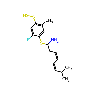 Cc1cc(SC(N)C/C=C\C=C/C(C)C)c(F)cc1SS